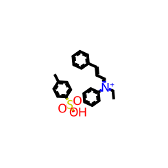 CC[N+](=CC=Cc1ccccc1)c1ccccc1.Cc1ccc(S(=O)(=O)O)cc1